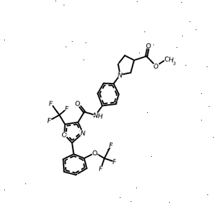 COC(=O)C1CCN(c2ccc(NC(=O)c3nc(-c4ccccc4OC(F)(F)F)oc3C(F)(F)F)cc2)C1